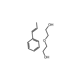 CC=Cc1ccccc1.OCCOCCO